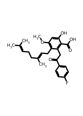 COc1cc(O)c(C(=O)O)c(CC(=O)c2ccc(F)cc2)c1C/C=C(\C)CCC=C(C)C